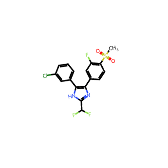 CS(=O)(=O)c1ccc(-c2nc(C(F)F)[nH]c2-c2cccc(Cl)c2)cc1F